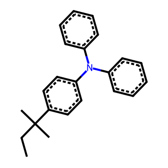 CCC(C)(C)c1ccc(N(c2ccccc2)c2ccccc2)cc1